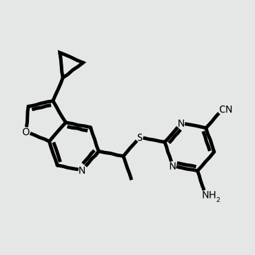 CC(Sc1nc(N)cc(C#N)n1)c1cc2c(C3CC3)coc2cn1